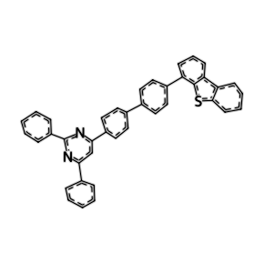 c1ccc(-c2cc(-c3ccc(-c4ccc(-c5cccc6c5sc5ccccc56)cc4)cc3)nc(-c3ccccc3)n2)cc1